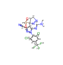 CN(C)C=Nc1c(C2(S(C)(=O)=O)CCN=N2)c(C#N)nn1-c1c(Cl)cc(C(F)(F)F)cc1Cl